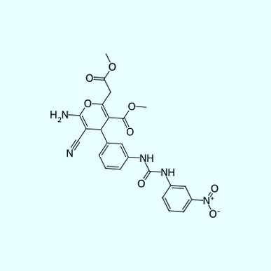 COC(=O)CC1=C(C(=O)OC)C(c2cccc(NC(=O)Nc3cccc([N+](=O)[O-])c3)c2)C(C#N)=C(N)O1